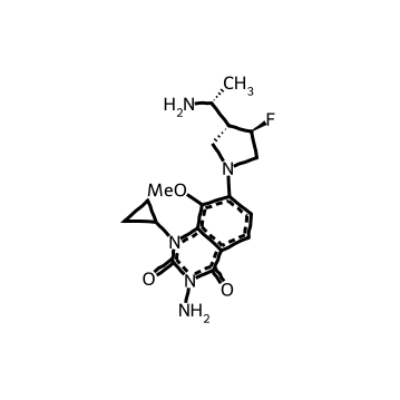 COc1c(N2C[C@H]([C@@H](C)N)[C@@H](F)C2)ccc2c(=O)n(N)c(=O)n(C3CC3)c12